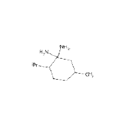 CC1CCC(C(C)C)C(N)(N)C1